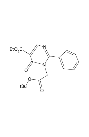 CCOC(=O)c1cnc(-c2ccccc2)n(CC(=O)OC(C)(C)C)c1=O